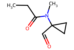 CCC(=O)N(C)C1(C=O)CC1